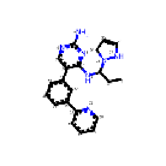 CCC(Nc1nc(N)ncc1-c1cccc(-c2ccccn2)c1)N1CC=CN1